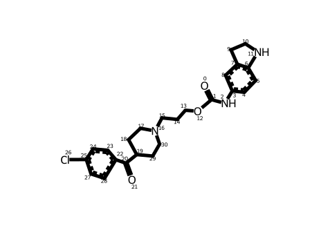 O=C(Nc1ccc2c(c1)CCN2)OCCCN1CCC(C(=O)c2ccc(Cl)cc2)CC1